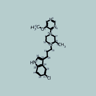 COc1cncnc1N1CCN(CCCc2c[nH]c3ccc(Cl)cc23)C(C)C1